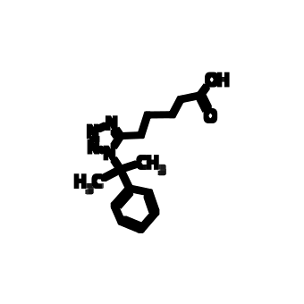 CC(C)(c1ccccc1)n1nnnc1CCCCC(=O)O